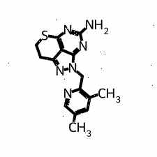 Cc1cnc(Cn2nc3c4c(nc(N)nc42)SCC3)c(C)c1